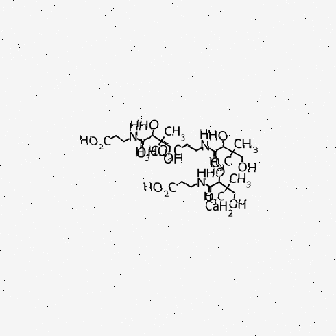 CC(C)(CO)C(O)C(=O)NCCC(=O)O.CC(C)(CO)C(O)C(=O)NCCC(=O)O.CC(C)(CO)C(O)C(=O)NCCC(=O)O.[CaH2]